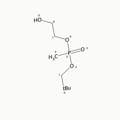 CC(C)(C)COP(C)(=O)OCCO